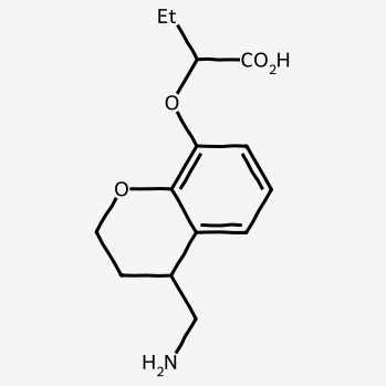 CCC(Oc1cccc2c1OCCC2CN)C(=O)O